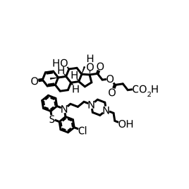 C[C@]12C=CC(=O)C=C1CC[C@@H]1[C@@H]2[C@@H](O)C[C@@]2(C)[C@H]1CC[C@]2(O)C(=O)COC(=O)CCC(=O)O.OCCN1CCN(CCCN2c3ccccc3Sc3ccc(Cl)cc32)CC1